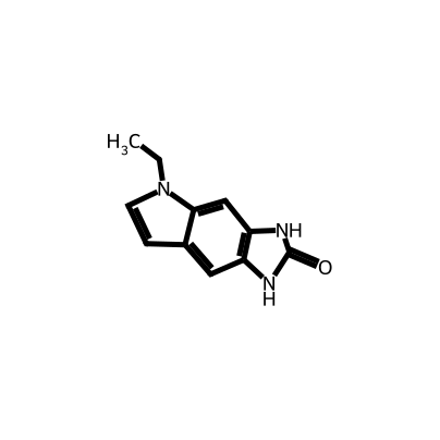 CCn1ccc2cc3[nH]c(=O)[nH]c3cc21